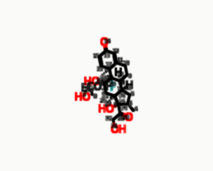 CC(=O)O.CCO.C[C@@H]1C[C@H]2[C@@H]3CCC4=CC(=O)C=C[C@]4(C)[C@@]3(F)[C@@H](O)C[C@]2(C)[C@@]1(O)C(=O)CO